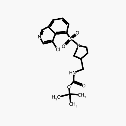 CC(C)(C)OC(=O)NCC1CCN(S(=O)(=O)c2cccc3cncc(Cl)c23)C1